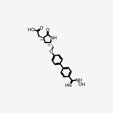 N=C(NO)c1ccc(-c2ccc(OC[C@@H]3C[C@@H](CC(=O)O)C(=O)N3)cc2)cc1